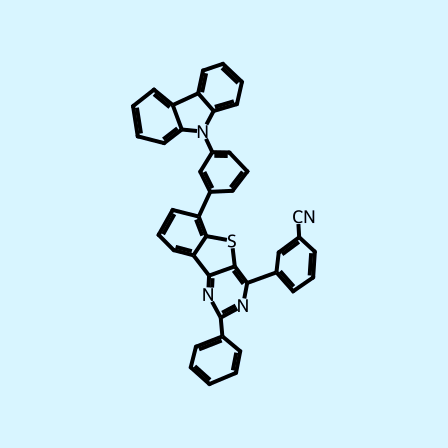 N#Cc1cccc(-c2nc(-c3ccccc3)nc3c2sc2c(-c4cccc(-n5c6ccccc6c6ccccc65)c4)cccc23)c1